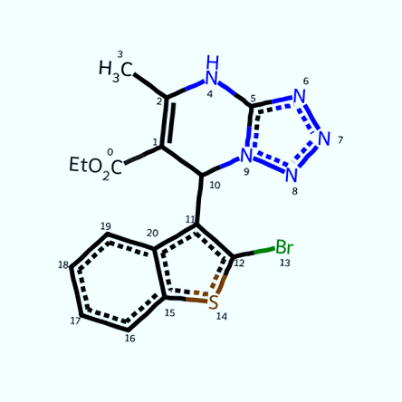 CCOC(=O)C1=C(C)Nc2nnnn2C1c1c(Br)sc2ccccc12